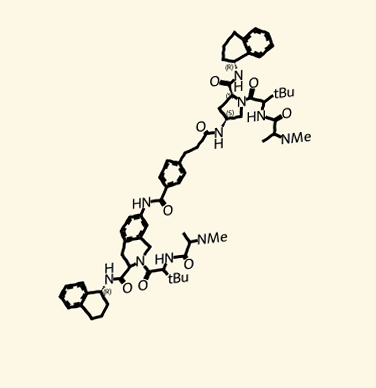 CNC(C)C(=O)NC(C(=O)N1Cc2cc(NC(=O)c3ccc(CCC(=O)N[C@H]4C[C@@H](C(=O)N[C@@H]5CCCc6ccccc65)N(C(=O)C(NC(=O)C(C)NC)C(C)(C)C)C4)cc3)ccc2CC1C(=O)N[C@@H]1CCCc2ccccc21)C(C)(C)C